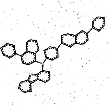 c1ccc(-c2ccc3cc(-c4ccc(N(c5ccc(-c6ccccc6)c6ccccc56)c5cccc6c5sc5ccccc56)cc4)ccc3c2)cc1